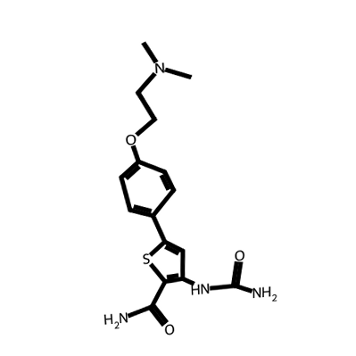 CN(C)CCOc1ccc(-c2cc(NC(N)=O)c(C(N)=O)s2)cc1